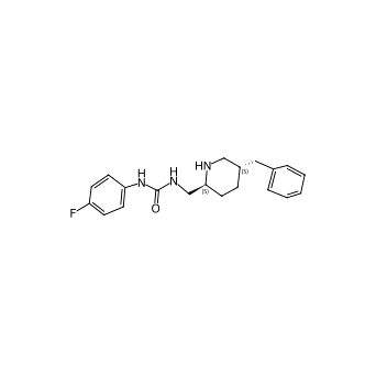 O=C(NC[C@@H]1CC[C@@H](Cc2ccccc2)CN1)Nc1ccc(F)cc1